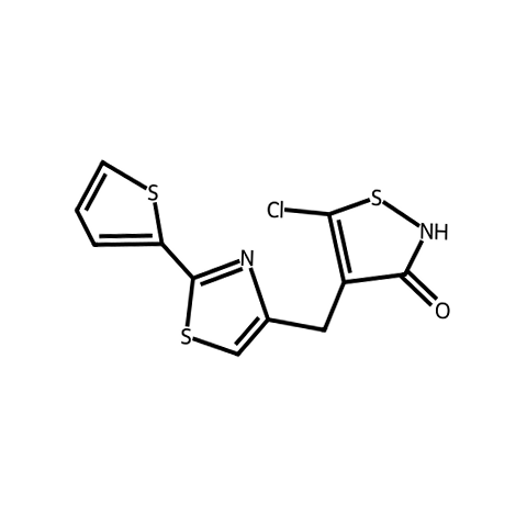 O=c1[nH]sc(Cl)c1Cc1csc(-c2cccs2)n1